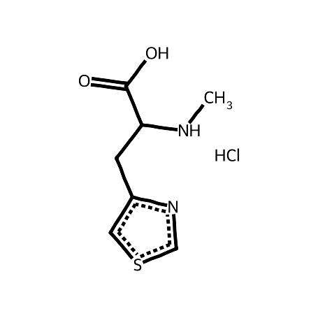 CNC(Cc1cscn1)C(=O)O.Cl